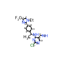 CCn1cc(C(F)(F)F)nc1-c1ccc(C(C)Nc2nc(Cl)ncc2C=N)cc1